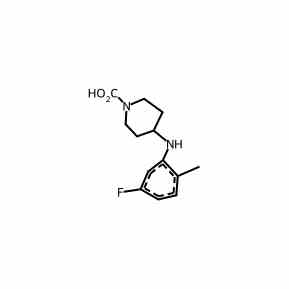 Cc1ccc(F)cc1NC1CCN(C(=O)O)CC1